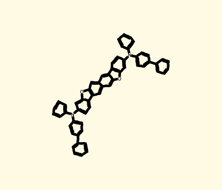 c1ccc(-c2ccc(N(c3ccccc3)c3ccc4c(c3)oc3cc5cc6c(cc5cc34)oc3cc(N(c4ccccc4)c4ccc(-c5ccccc5)cc4)ccc36)cc2)cc1